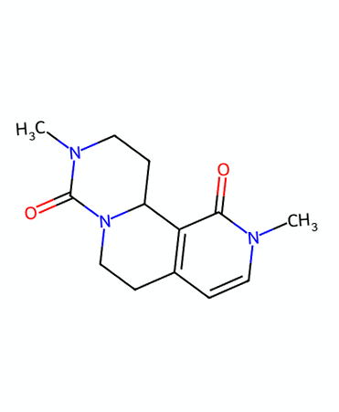 CN1CCC2c3c(ccn(C)c3=O)CCN2C1=O